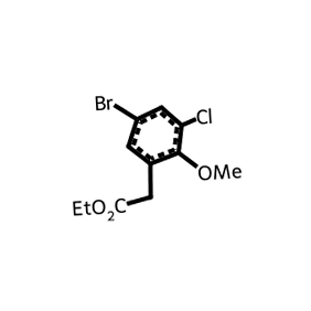 CCOC(=O)Cc1cc(Br)cc(Cl)c1OC